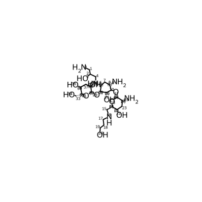 NCC(O)CN[C@@H]1C[C@H](N)C(O[C@H]2O[C@H](CNCCCO)[C@@H](O)C[C@H]2N)[C@H](O)[C@H]1O[C@H]1O[C@H](CO)[C@@H](O)C[C@H]1O